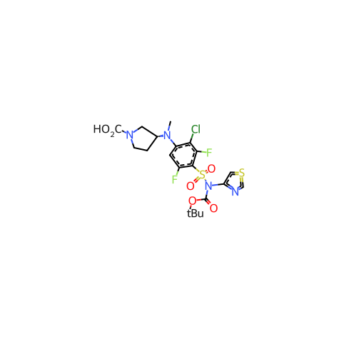 CN(c1cc(F)c(S(=O)(=O)N(C(=O)OC(C)(C)C)c2cscn2)c(F)c1Cl)[C@H]1CCN(C(=O)O)C1